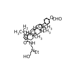 C=C(C)[C@@H]1CC[C@]2(C(=O)NCCN(CC)CCO)CC[C@]3(C)[C@H](CC[C@@H]4[C@@]5(C)CC=C(c6ccc(OC=O)cc6)C(C)(C)[C@@H]5CC[C@]43C)[C@@H]12